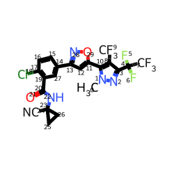 Cn1nc(C(F)(F)C(F)(F)F)c(C(F)(F)F)c1-c1cc(-c2ccc(Cl)c(C(=O)NC3(C#N)CC3)c2)no1